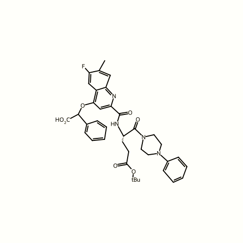 Cc1cc2nc(C(=O)N[C@@H](CCC(=O)OC(C)(C)C)C(=O)N3CCN(c4ccccc4)CC3)cc(OC(C(=O)O)c3ccccc3)c2cc1F